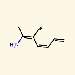 C=C/C=C\C(=C(\C)N)C(C)C